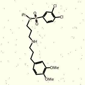 COc1ccc(CCCNCCCN(C(C)C)S(=O)(=O)c2ccc(Cl)c(Cl)c2)cc1OC